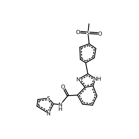 CS(=O)(=O)c1ccc(-c2nc3c(C(=O)Nc4nccs4)cccc3[nH]2)cc1